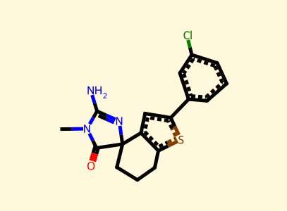 CN1C(=O)C2(CCCc3sc(-c4cccc(Cl)c4)cc32)N=C1N